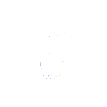 S=CC1=N[N+]=CO1